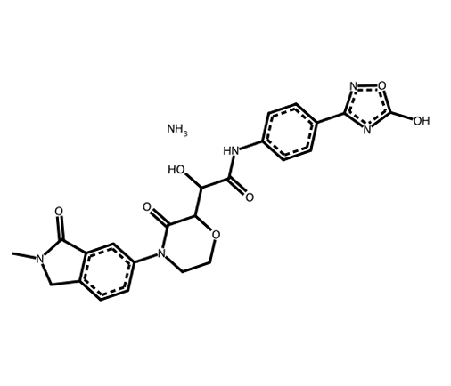 CN1Cc2ccc(N3CCOC(C(O)C(=O)Nc4ccc(-c5noc(O)n5)cc4)C3=O)cc2C1=O.N